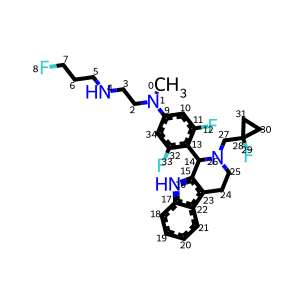 CN(CCNCCCF)c1cc(F)c(C2c3[nH]c4ccccc4c3CCN2CC2(F)CC2)c(F)c1